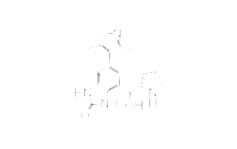 Cc1noc(C)c1-c1cc(C(O)C2CCCN2)c2[nH]c(=O)[nH]c2c1